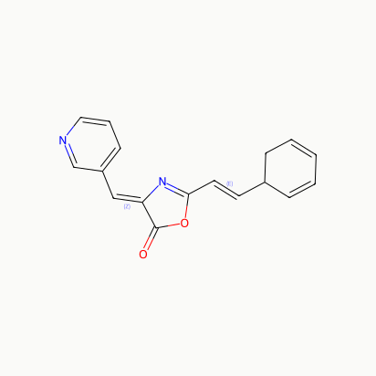 O=C1OC(/C=C/C2C=CC=CC2)=NC/1=C\c1cccnc1